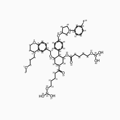 COCCCN1CCOc2ccc(COC3CN(C(=O)CCCCON(O)O)CC(OC(=O)CCCCON(O)O)C3c3ccc(OC4CCN(c5cccc(F)c5)C4)cc3)cc21